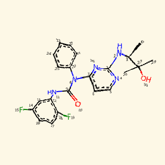 C[C@H](Nc1nccc(N(C(=O)Nc2cc(F)ccc2F)c2ccccc2)n1)C(C)(C)O